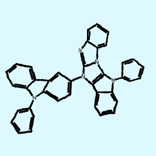 c1ccc(-n2c3ccccc3c3cc(-n4c5c6ccccc6n(-c6ccccc6)c5n5c6ccccc6nc45)ccc32)cc1